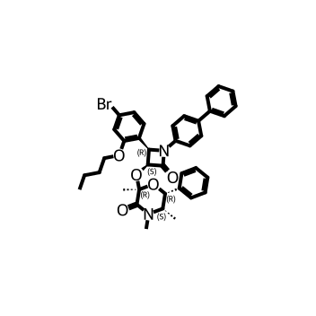 CCCCOc1cc(Br)ccc1[C@@H]1[C@H](O[C@@]2(C)O[C@H](c3ccccc3)[C@H](C)N(C)C2=O)C(=O)N1c1ccc(-c2ccccc2)cc1